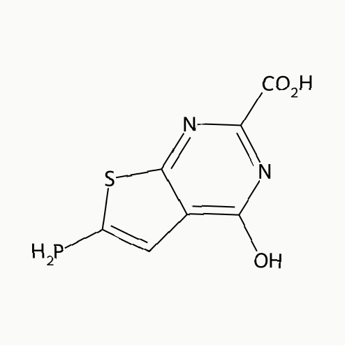 O=C(O)c1nc(O)c2cc(P)sc2n1